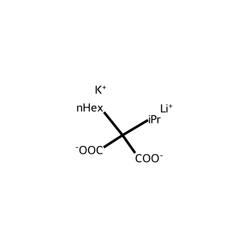 CCCCCCC(C(=O)[O-])(C(=O)[O-])C(C)C.[K+].[Li+]